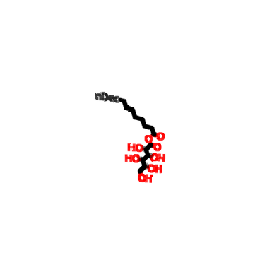 CCCCCCCCCCCC=CCCCCC(=O)OC(=O)[C@H](O)[C@@H](O)[C@H](O)[C@H](O)CO